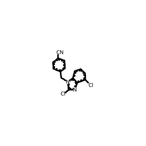 N#Cc1ccc(Cn2c(Cl)nc3c(Cl)cccc32)cc1